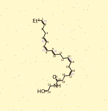 CC/C=C\CC/C=C/C=C\C=C\CC/C=C\C/C=C\CCC(=O)NCCO